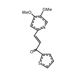 COc1cnc(/C=C/C(=O)c2cccs2)cc1OC